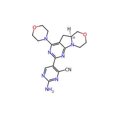 N#Cc1nc(N)ncc1-c1nc(N2CCOCC2)c2c(n1)N1CCOC[C@@H]1C2